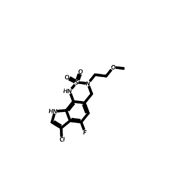 COCCN1Cc2cc(F)c3c(Cl)c[nH]c3c2NS1(=O)=O